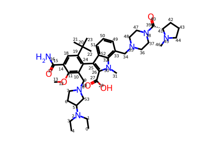 CCN(CC)C1CCN(Cc2c(OC)c(C(N)=O)cc(C(C)(C)C)c2-c2c(C(=O)O)n(C)c3c(CN4CCN(C(=O)[C@@H]5CCCN5C)CC4)cccc23)C1